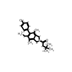 CCc1c(C)c2c(c(C)c1-c1ccc(Cl)cc1)CN(C(=O)CC(C)(C)C)C2